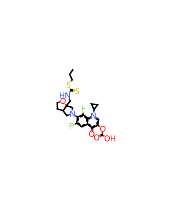 CCCSC(=S)NCC12CN(c3c(F)cc4c(=O)c(OC(=O)O)cn(C5CC5)c4c3F)CC1CCO2